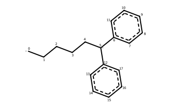 [CH2]CCCC[C](c1ccccc1)c1ccccc1